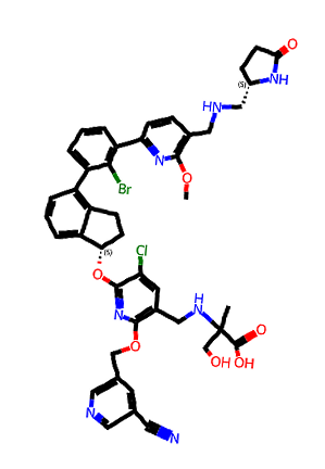 COc1nc(-c2cccc(-c3cccc4c3CC[C@@H]4Oc3nc(OCc4cncc(C#N)c4)c(CNC(C)(CO)C(=O)O)cc3Cl)c2Br)ccc1CNC[C@@H]1CCC(=O)N1